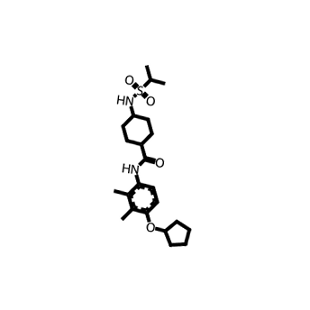 Cc1c(NC(=O)C2CCC(NS(=O)(=O)C(C)C)CC2)ccc(OC2CCCC2)c1C